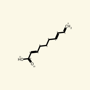 C=CC=CCCCC=CC(=O)O